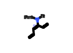 C=C/C=C(\C=C)N(CC)C(C)CCC